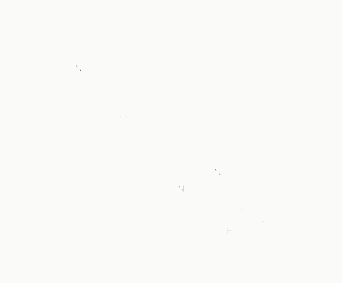 FC(F)(F)c1nc(-c2cc[c]c(Oc3cccnc3)c2)no1